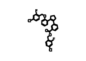 O=C(OCc1ccc(Cl)cc1F)c1cccc(C2=C(c3ccccc3OCc3ccc(Cl)cc3F)CCC2)c1